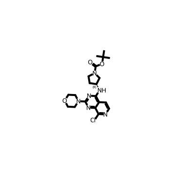 CC(C)(C)OC(=O)N1CC[C@@H](Nc2nc(N3CCOCC3)nc3c(Cl)nccc23)C1